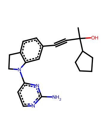 CC(O)(C#Cc1ccc2c(c1)N(c1ccnc(N)n1)CC2)C1CCCC1